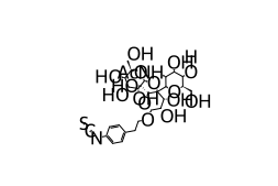 CC(=O)N[C@H]1[C@@H](O)[C@@H](O)[C@@H](CO)O[C@H]1[C@]1(O[C@@H]2O[C@H](CO)[C@H](O)[C@H](O)[C@H]2O)[C@H](O)[C@@H](O)[C@@H](OCCc2ccc(N=C=S)cc2)O[C@@H]1CO